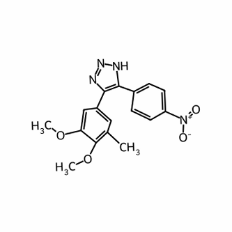 COc1cc(-c2nn[nH]c2-c2ccc([N+](=O)[O-])cc2)cc(C)c1OC